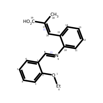 CCOc1ccccc1/C=N/c1ccccc1/C=C(\C)C(=O)O